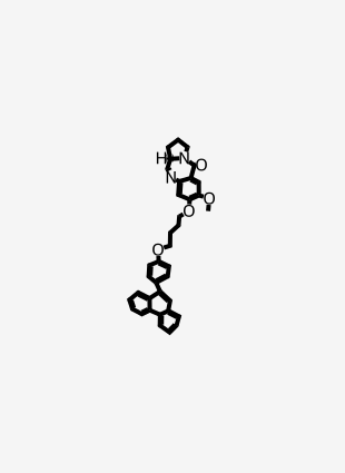 COc1cc2c(cc1OCCCCOc1ccc(-c3cc4ccccc4c4ccccc34)cc1)N=C[C@@H]1CCCN1C2=O